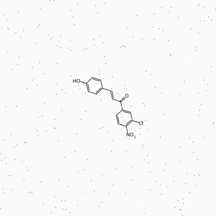 O=C(/C=C/c1ccc(O)cc1)c1ccc([N+](=O)[O-])c(Cl)c1